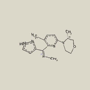 C/N=C(/c1cc[nH]n1)c1nc(N2CCOC[C@H]2C)ccc1C